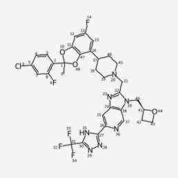 CC1(c2ccc(Cl)cc2F)Oc2cc(F)cc(C3CCN(Cc4nc5cc(-c6nnc(C(F)(F)F)[nH]6)ncc5n4C[C@@H]4CCO4)CC3)c2O1